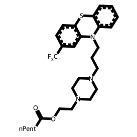 CCCCCC(=O)OCCN1CCN(CCCN2c3ccccc3Sc3ccc(C(F)(F)F)cc32)CC1